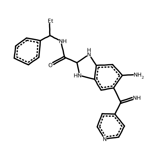 CCC(NC(=O)C1Nc2cc(N)c(C(=N)c3ccncc3)cc2N1)c1ccccc1